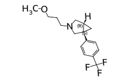 COCCCN1C[C@@H]2C[C@]2(c2ccc(C(F)(F)F)cc2)C1